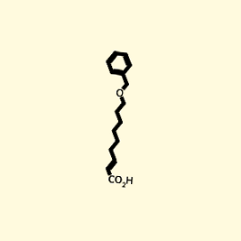 O=C(O)C=CCCCCCCOCc1ccccc1